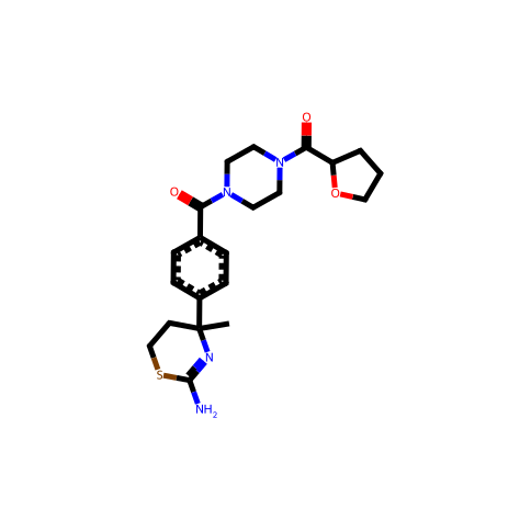 CC1(c2ccc(C(=O)N3CCN(C(=O)C4CCCO4)CC3)cc2)CCSC(N)=N1